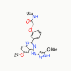 CCOc1ccc2nc(-c3cccc(OCC(=O)NC(C)(C)C)c3)nc(Nc3cc(OC)[nH]n3)c2c1